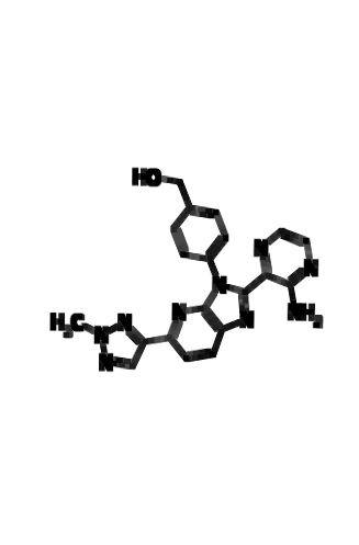 Cn1ncc(-c2ccc3nc(-c4nccnc4N)n(-c4ccc(CO)cc4)c3n2)n1